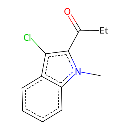 CCC(=O)c1c(Cl)c2ccccc2n1C